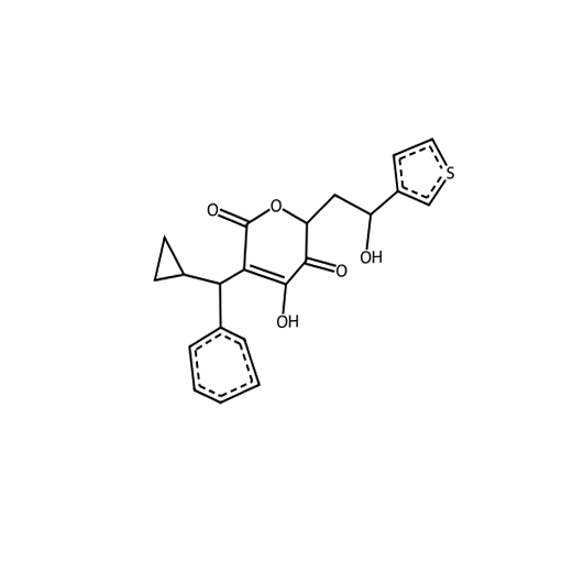 O=C1OC(CC(O)c2ccsc2)C(=O)C(O)=C1C(c1ccccc1)C1CC1